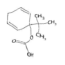 CC(C)(C)C1(OC(=O)O)C=CCC=C1